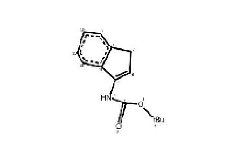 CC(C)(C)OC(=O)NC1=CCc2ccccc21